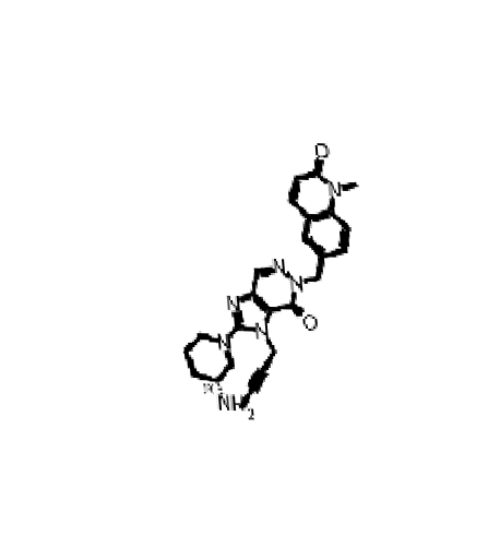 CC#CCn1c(N2CCC[C@@H](N)C2)nc2cnn(Cc3ccc4c(ccc(=O)n4C)c3)c(=O)c21